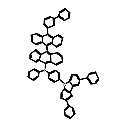 c1ccc(-c2cccc(-c3c4ccccc4c(-c4c5ccccc5c(N(c5ccccc5)c5ccc(-n6c7ccc(-c8ccccc8)cc7c7cc(-c8ccccc8)ccc76)cc5)c5ccccc45)c4ccccc34)c2)cc1